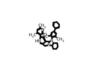 Cc1cc(C)c2c(n1)OC1=C3C(=CNC12)CN1C2CCCCC2N(c2c(C)cc(C4=CCCC=C4)cc2C)C31